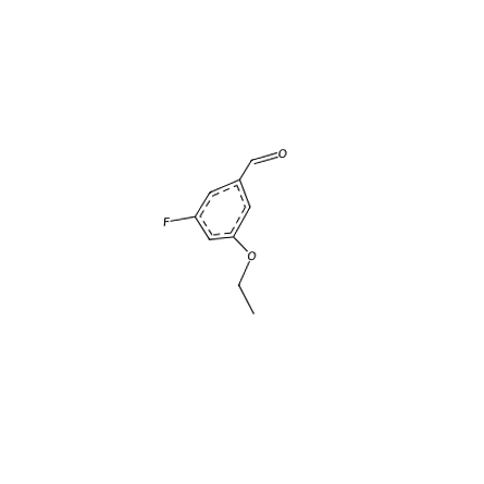 CCOc1cc(F)cc(C=O)c1